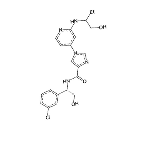 CCC(CO)Nc1cc(-n2cnc(C(=O)N[C@H](CO)c3cccc(Cl)c3)c2)ccn1